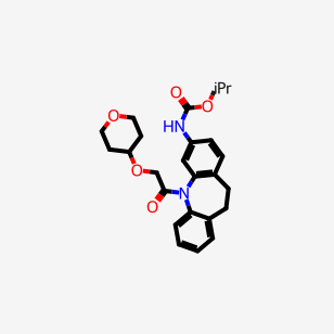 CC(C)OC(=O)Nc1ccc2c(c1)N(C(=O)COC1CCOCC1)c1ccccc1CC2